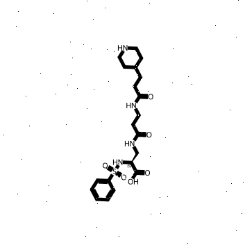 O=C(CCC1CCNCC1)NCCC(=O)NC[C@H](NS(=O)(=O)c1ccccc1)C(=O)O